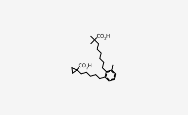 Cc1cccc(CCCCCC2(C(=O)O)CC2)c1CCCCCCC(C)(C)C(=O)O